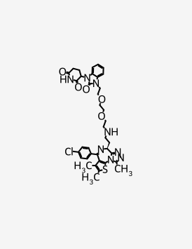 Cc1sc2c(c1C)C(c1ccc(Cl)cc1)=N[C@@H](CCNCCOCCOCCn1c(=O)n(C3CCC(=O)NC3=O)c3ccccc31)c1nnc(C)n1-2